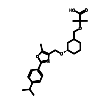 Cc1oc(-c2ccc(C(C)C)cc2)nc1CO[C@H]1CCCC(COC(C)(C)C(=O)O)C1